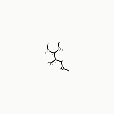 COCC(Cl)C(OC)OC